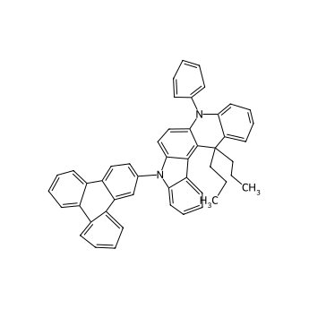 CCCC1(CCC)c2ccccc2N(c2ccccc2)c2ccc3c(c21)c1ccccc1n3-c1ccc2c3ccccc3c3ccccc3c2c1